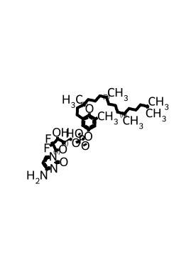 Cc1cc(OP(=O)(O)OC[C@H]2O[C@@H](n3ccc(N)nc3=O)C(F)(F)C2O)cc2c1O[C@](C)(CCC[C@H](C)CCC[C@H](C)CCCC(C)C)CC2